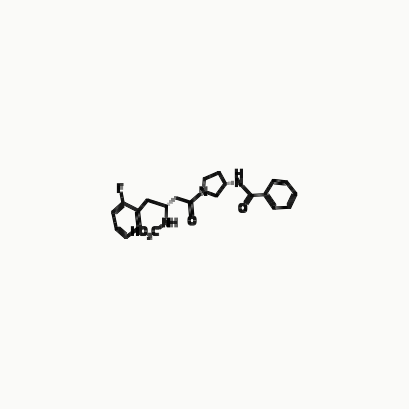 O=C(O)N[C@@H](CC(=O)N1CC[C@H](NC(=O)c2ccccc2)C1)Cc1ccccc1F